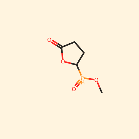 CO[PH](=O)C1CCC(=O)O1